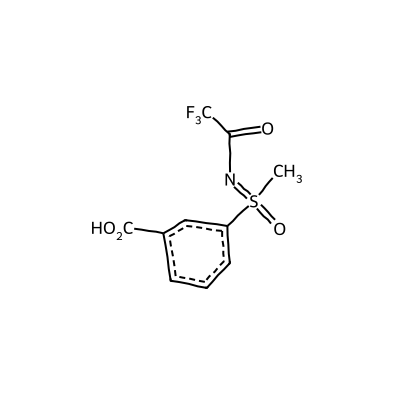 CS(=O)(=NC(=O)C(F)(F)F)c1cccc(C(=O)O)c1